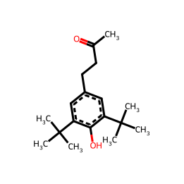 CC(=O)CCc1cc(C(C)(C)C)c(O)c(C(C)(C)C)c1